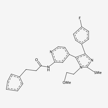 COCCn1c(SC)nc(-c2ccc(F)cc2)c1-c1ccnc(NC(=O)CCc2ccccc2)c1